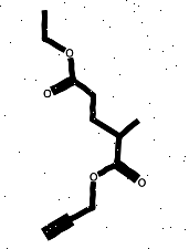 C#CCOC(=O)C(C)CCC(=O)OCC